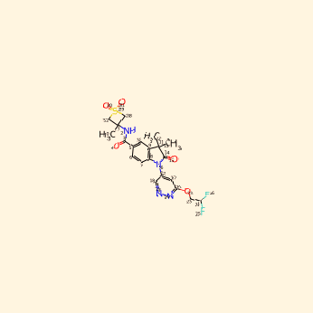 CC1(NC(=O)c2ccc3c(c2)C(C)(C)C(=O)N3c2cnnc(OCC(F)F)c2)CS(=O)(=O)C1